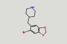 Brc1cc2c(cc1CC1CCNCC1)OCO2